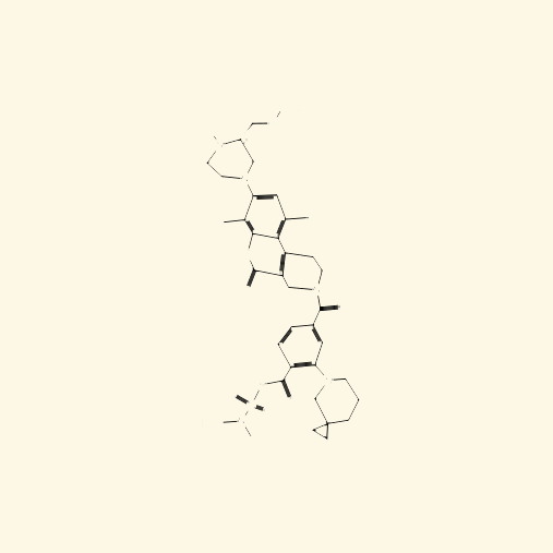 COC[C@H]1CN(c2cc(C)c3c4c(c(=O)oc3c2C)CN(C(=O)c2ccc(C(=O)NS(=O)(=O)N(C)C)c(N3CCCC5(CC5)C3)c2)CC4)CCN1C